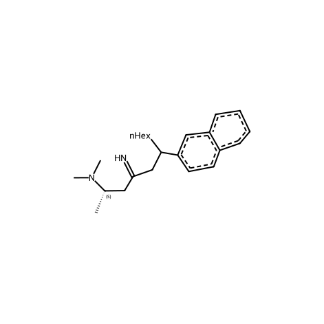 CCCCCCC(CC(=N)C[C@H](C)N(C)C)c1ccc2ccccc2c1